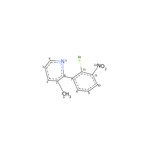 Cc1cccnc1-c1cccc([N+](=O)[O-])c1F